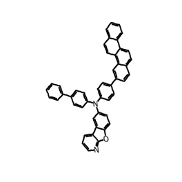 c1ccc(-c2ccc(N(c3ccc(-c4ccc5ccc6c7ccccc7ccc6c5c4)cc3)c3ccc4oc5ncccc5c4c3)cc2)cc1